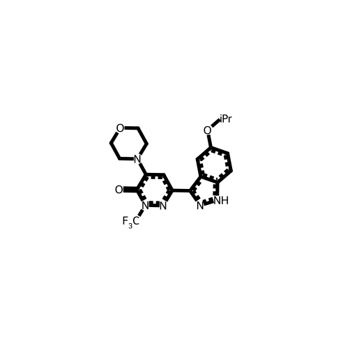 CC(C)Oc1ccc2[nH]nc(-c3cc(N4CCOCC4)c(=O)n(C(F)(F)F)n3)c2c1